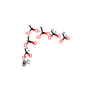 CC(=O)[O-].CC(=O)[O-].CC(=O)[O-].CC(=O)[O-].CC(=O)[O-].CC(=O)[O-].[Bi+3].[Bi+3]